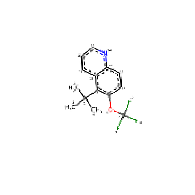 CC(C)(C)c1c(OC(F)(F)F)ccc2ncccc12